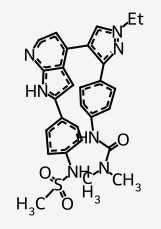 CCn1cc(-c2ccnc3[nH]c(-c4ccc(NS(C)(=O)=O)cc4)cc23)c(-c2ccc(NC(=O)N(C)C)cc2)n1